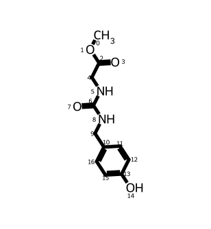 COC(=O)CNC(=O)NCc1ccc(O)cc1